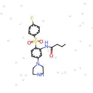 CCCC(=O)Nc1cc(N2CCNCC2)ccc1S(=O)(=O)c1ccc(F)cc1